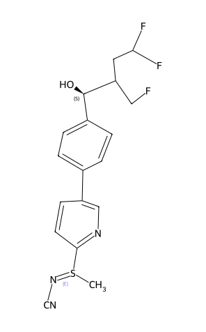 C/S(=N\C#N)c1ccc(-c2ccc([C@@H](O)C(CF)CC(F)F)cc2)cn1